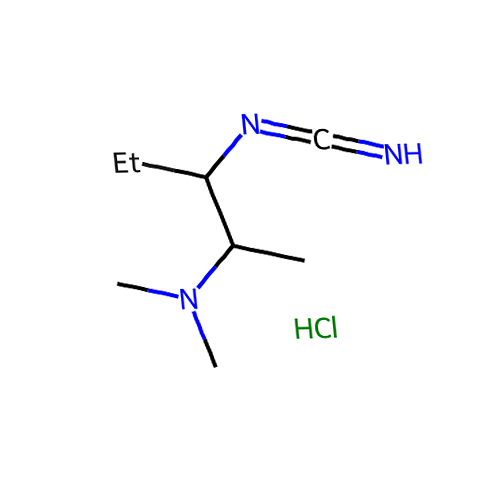 CCC(N=C=N)C(C)N(C)C.Cl